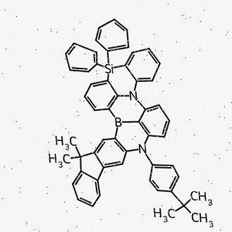 CC(C)(C)c1ccc(N2c3cc4c(cc3B3c5cccc6c5N(c5ccccc5[Si]6(c5ccccc5)c5ccccc5)c5cccc2c53)C(C)(C)c2ccccc2-4)cc1